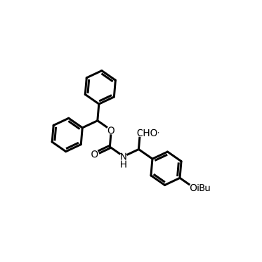 CC(C)COc1ccc(C([C]=O)NC(=O)OC(c2ccccc2)c2ccccc2)cc1